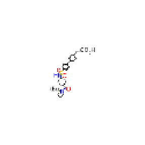 CC(C)(C)C1CCCN1C(=O)[C@H]1CC[C@H](NS(=O)(=O)c2ccc(-c3ccc(CCC(=O)O)cc3)cc2)CC1